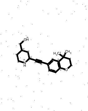 CC1(C)CCOc2ccc(C#CC3CC(CO)CCN3)cc21